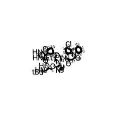 CC(C)(C)NC[C@H](O)COc1nsnc1N1CCOCC1.CCC1(c2ccccc2)C(=O)NCNC1=O.CN1C(=O)CC(=O)N(c2ccccc2)c2cc(Cl)ccc21